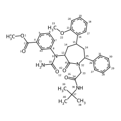 COC(=O)c1cccc(N(C(N)=O)C2CC(c3ccccc3OC)CC(c3ccccc3)N(CC(=O)NC(C)(C)C)C2=O)c1